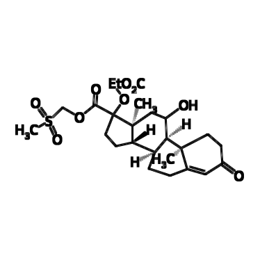 CCOC(=O)OC1(C(=O)OCS(C)(=O)=O)CC[C@H]2[C@@H]3CCC4=CC(=O)CC[C@]4(C)[C@@H]3C(O)C[C@@]21C